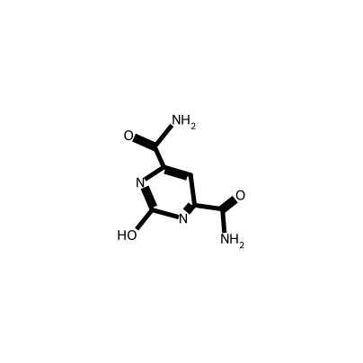 NC(=O)c1cc(C(N)=O)nc(O)n1